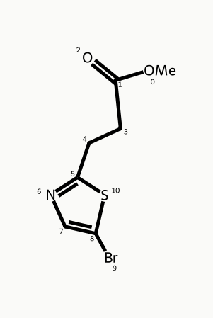 COC(=O)CCc1ncc(Br)s1